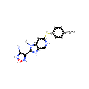 CCn1c(-c2nonc2N)nc2cnc(Sc3ccc(SC)cc3)cc21